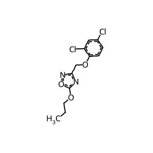 CCCOc1nc(COc2ccc(Cl)cc2Cl)no1